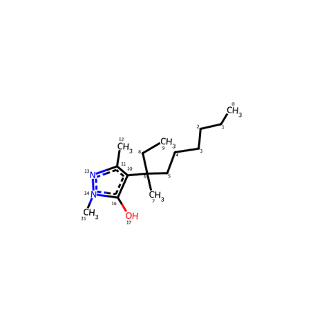 CCCCCCC(C)(CC)c1c(C)nn(C)c1O